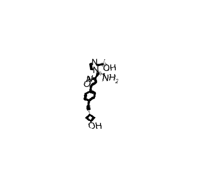 C[C@H](O)c1nccn1[C@H](CN)c1cc(-c2ccc(C#C[C@H]3C[C@H](O)C3)cc2)on1